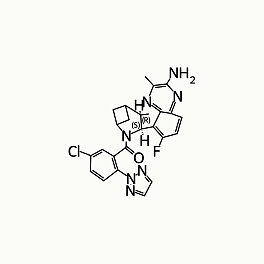 Cc1nc2c([C@@H]3[C@H](C)C4CC(C4)N3C(=O)c3cc(Cl)ccc3-n3nccn3)c(F)ccc2nc1N